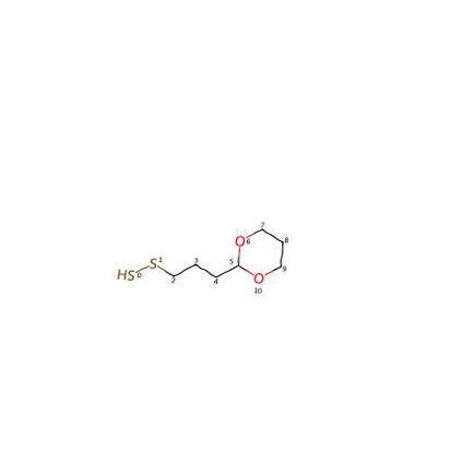 SSCCCC1OCCCO1